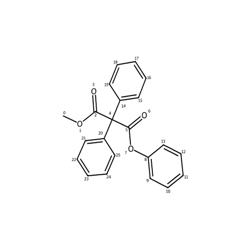 COC(=O)C(C(=O)Oc1ccccc1)(c1ccccc1)c1ccccc1